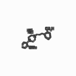 COc1ccccc1N1CCN(CCCc2ccccc2C(=O)O)CC1.Cl.Cl